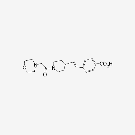 O=C(O)c1ccc(C=CC2CCN(C(=O)CN3CCOCC3)CC2)cc1